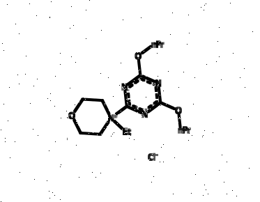 CCCOc1nc(OCCC)nc([N+]2(CC)CCOCC2)n1.[Cl-]